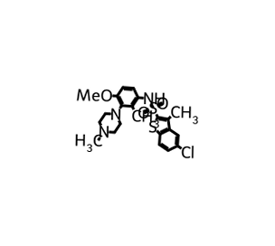 COc1ccc(NS(=O)(=O)c2sc3ccc(Cl)cc3c2C)c(C)c1N1CCN(C)CC1